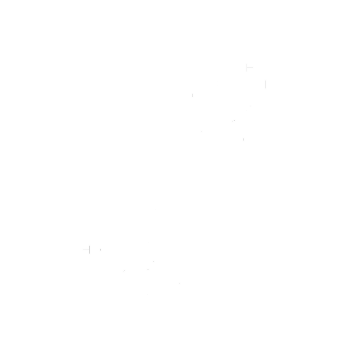 CC1(C)OC(=O)C(c2ccc3cc(-c4ccc(CO)c(C56CC7CC(CC(C7)C5)C6)c4)ccc3c2)C(=O)O1